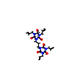 C=CCn1c(=O)n(CC=C)c(=O)n(CCCn2c(=O)n(CC=C)c(=O)n(CC=C)c2=O)c1=O